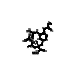 CCCC(=O)Oc1ccc(C[C@](N)(CC(C)OC(=O)CC)C(=O)OC)cc1OC(=O)CCC